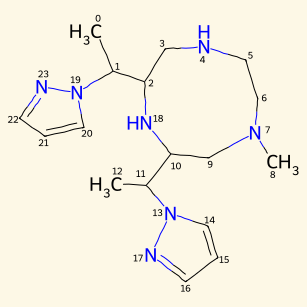 CC(C1CNCCN(C)CC(C(C)n2cccn2)N1)n1cccn1